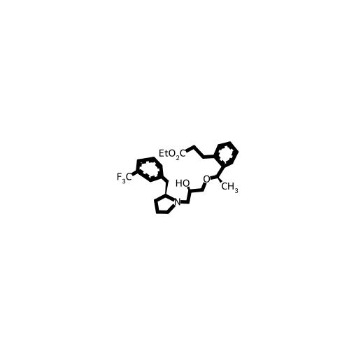 CCOC(=O)CCc1ccccc1[C@@H](C)OC[C@H](O)CN1CCC[C@H]1Cc1cccc(C(F)(F)F)c1